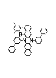 Cc1cc(C)c(B2c3ccc(-c4ccccc4)cc3N3c4cc5ccccc5cc4N(c4cccc(-c5ccccc5)c4)c4cc5ccccc5c2c43)c(C)c1